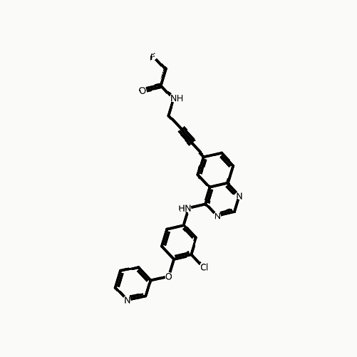 O=C(CF)NCC#Cc1ccc2ncnc(Nc3ccc(Oc4cccnc4)c(Cl)c3)c2c1